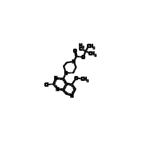 COc1cncc2nc(Cl)nc(N3CCN(C(=O)OC(C)(C)C)CC3)c12